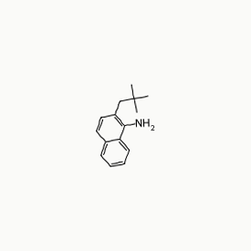 CC(C)(C)Cc1ccc2ccccc2c1N